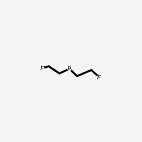 FCC[P]CCF